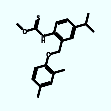 COC(=S)Nc1ccc(C(C)C)cc1COc1ccc(C)cc1C